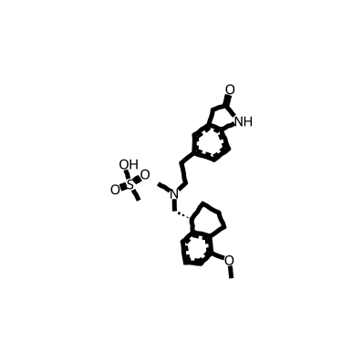 COc1cccc2c1CCC[C@H]2CN(C)CCc1ccc2c(c1)CC(=O)N2.CS(=O)(=O)O